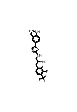 NC(CNc1ncc(-c2ccc3c(c2)CNN3)s1)Cc1ccc(C(F)(F)F)c(F)c1F